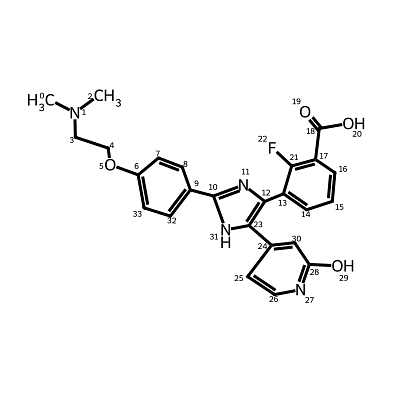 CN(C)CCOc1ccc(-c2nc(-c3cccc(C(=O)O)c3F)c(-c3ccnc(O)c3)[nH]2)cc1